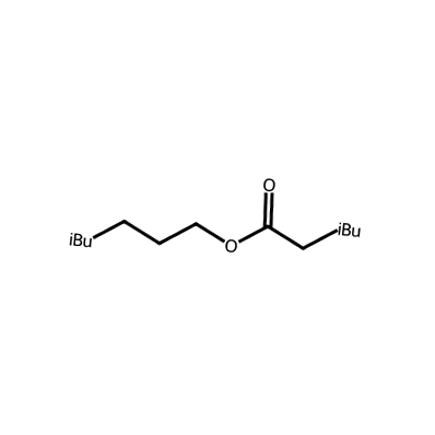 CCC(C)CCCOC(=O)CC(C)CC